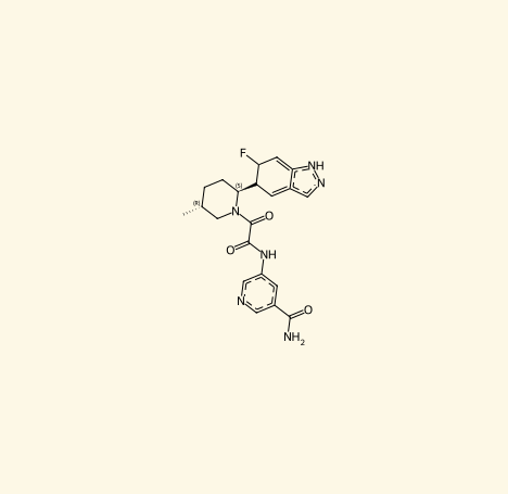 C[C@@H]1CC[C@@H](C2C=c3cn[nH]c3=CC2F)N(C(=O)C(=O)Nc2cncc(C(N)=O)c2)C1